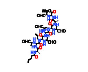 C=CCCC(=O)N[C@@H](C)C(=O)N[C@@H](N[C@@H](C)C=O)C(=O)N(CC=C)[C@@H](N[C@@H](C)C=O)C(=O)N[C@@H](N[C@@H](C)C=O)C(=O)N[C@@H](N[C@@H](C)C=O)C(=O)N[C@@H](C)C(=O)N[C@@H](N[C@@H](C)C=O)C(=O)OC